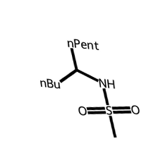 CCCCCC(CCCC)NS(C)(=O)=O